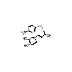 Nc1ccc(N)cc1.O=C(O)/C=C/c1ccc(O)c(O)c1